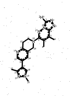 [2H]c1nnc2c(C)c(C)c(N3CCc4ncc(-c5cn(C)nc5C)cc4C3)nn12